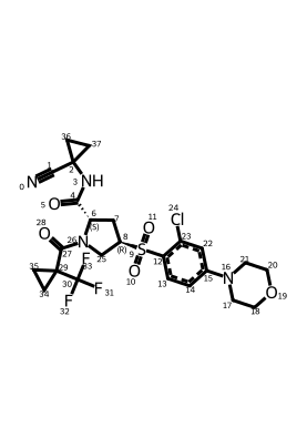 N#CC1(NC(=O)[C@@H]2C[C@@H](S(=O)(=O)c3ccc(N4CCOCC4)cc3Cl)CN2C(=O)C2(C(F)(F)F)CC2)CC1